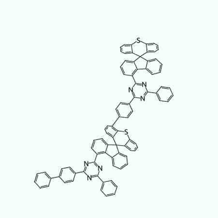 c1ccc(-c2ccc(-c3nc(-c4ccccc4)nc(-c4cccc5c4-c4ccccc4C54c5ccccc5Sc5c(-c6ccc(-c7nc(-c8ccccc8)nc(-c8cccc9c8-c8ccccc8C98c9ccccc9Sc9ccccc98)n7)cc6)cccc54)n3)cc2)cc1